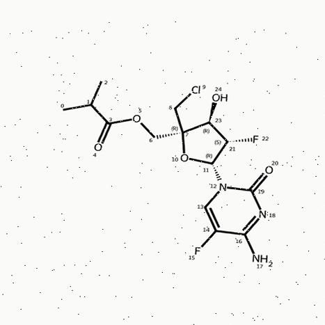 CC(C)C(=O)OC[C@@]1(CCl)O[C@@H](n2cc(F)c(N)nc2=O)[C@@H](F)[C@@H]1O